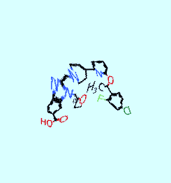 CC(Oc1cccc(C2=CCN(Cc3nc4ccc(C(=O)O)cc4n3C[C@@H]3CCO3)CC2)n1)c1ccc(Cl)cc1F